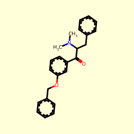 CN(C)C(Cc1ccccc1)C(=O)c1cccc(OCc2ccccc2)c1